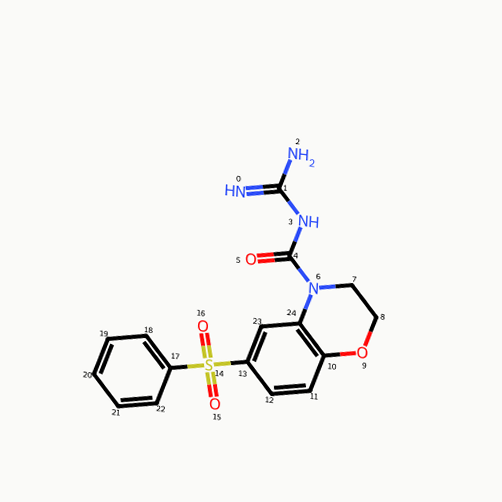 N=C(N)NC(=O)N1CCOc2ccc(S(=O)(=O)c3ccccc3)cc21